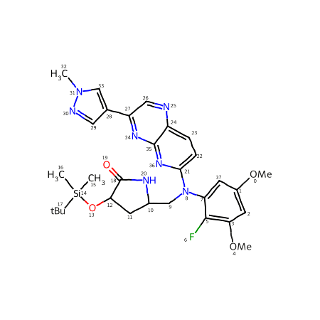 COc1cc(OC)c(F)c(N(CC2CC(O[Si](C)(C)C(C)(C)C)C(=O)N2)c2ccc3ncc(-c4cnn(C)c4)nc3n2)c1